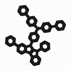 c1ccc(-c2ccc(N(c3ccc(-c4ccccc4)cc3)c3ccc(C4C5=C(c6ccccc6C5c5ccccc5)c5ccc(-c6ccccc6)cc54)cc3)cc2)cc1